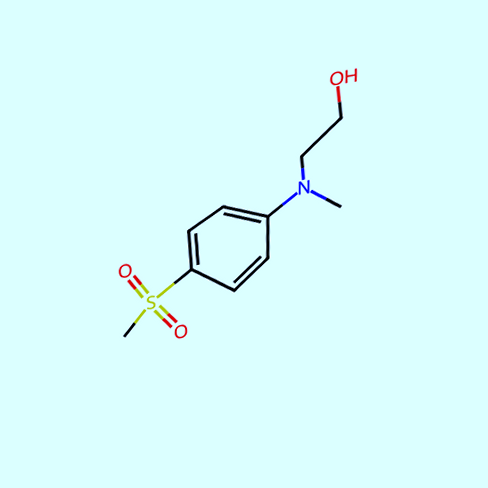 CN(CCO)c1ccc(S(C)(=O)=O)cc1